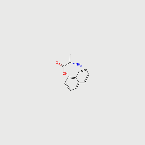 CC(N)C(=O)O.c1ccc2ccccc2c1